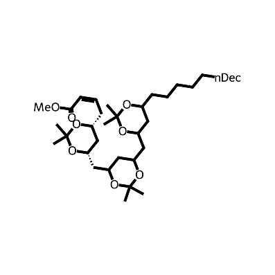 CCCCCCCCCCCCCCCC1CC(CC2CC(C[C@H]3C[C@@H](C/C=C\C(=O)OC)OC(C)(C)O3)OC(C)(C)O2)OC(C)(C)O1